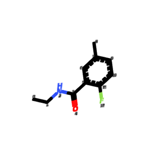 CCNC(=O)c1cc(C)ccc1F